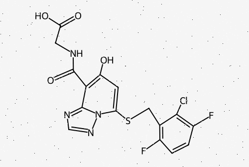 O=C(O)CNC(=O)c1c(O)cc(SCc2c(F)ccc(F)c2Cl)n2ncnc12